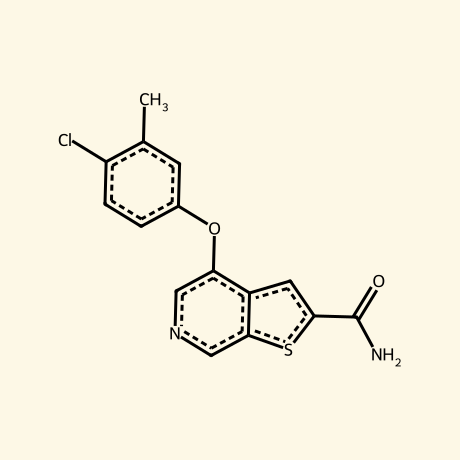 Cc1cc(Oc2cncc3sc(C(N)=O)cc23)ccc1Cl